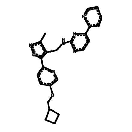 Cc1noc(-c2ccc(OCC3CCC3)cn2)c1CNc1nccc(-c2ccccn2)n1